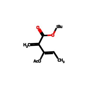 C=C(C(=O)OC(C)(C)C)C(=CC)OC(C)=O